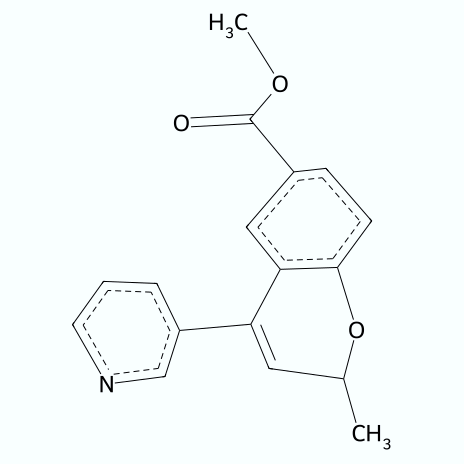 COC(=O)c1ccc2c(c1)C(c1cccnc1)=CC(C)O2